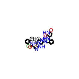 Cc1nc(NCc2ccccc2NC2CCC(=O)NC2=O)cc(Nc2ncc(C(=O)Nc3c(C)cccc3Cl)s2)n1